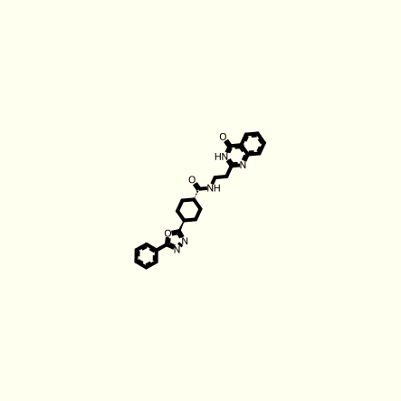 O=c1[nH]c(CCNC(=O)[C@H]2CC[C@H](c3nnc(-c4ccccc4)o3)CC2)nc2ccccc12